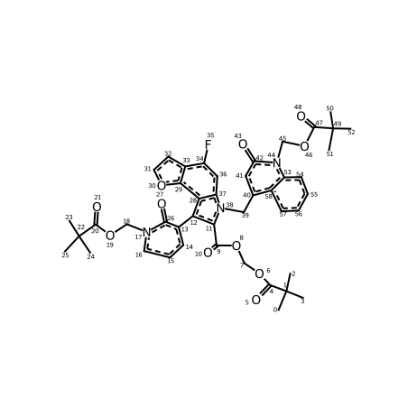 CC(C)(C)C(=O)OCOC(=O)c1c(-c2cccn(COC(=O)C(C)(C)C)c2=O)c2c3occc3c(F)cc2n1Cc1cc(=O)n(COC(=O)C(C)(C)C)c2ccccc12